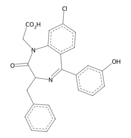 O=C(O)CN1C(=O)C(Cc2ccccc2)N=C(c2cccc(O)c2)c2ccc(Cl)cc21